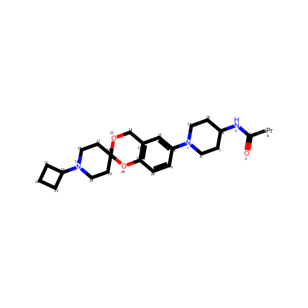 CC(C)C(=O)NC1CCN(c2ccc3c(c2)COC2(CCN(C4CCC4)CC2)O3)CC1